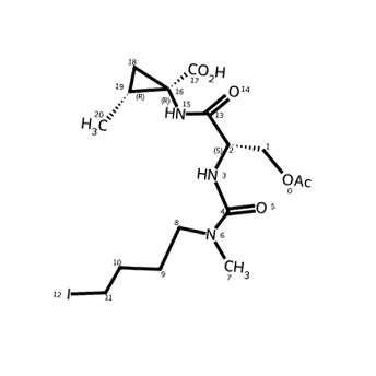 CC(=O)OC[C@H](NC(=O)N(C)CCCCI)C(=O)N[C@]1(C(=O)O)C[C@H]1C